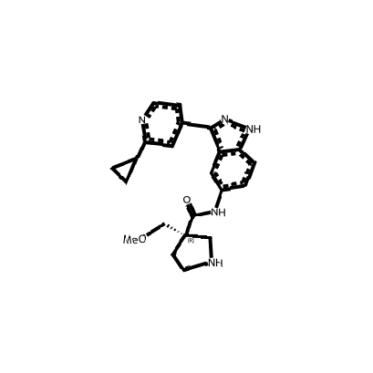 COC[C@@]1(C(=O)Nc2ccc3[nH]nc(-c4ccnc(C5CC5)c4)c3c2)CCNC1